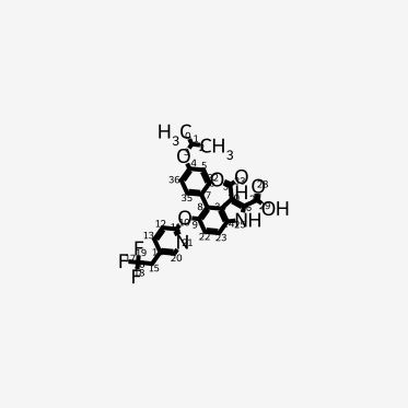 CC(C)Oc1ccc(-c2c(Oc3ccc(CC(F)(F)F)cn3)ccc3[nH]c(C(=O)O)c(C(=O)O)c23)cc1